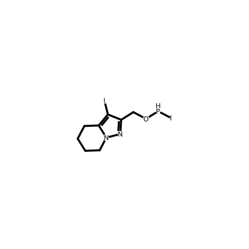 IPOCc1nn2c(c1I)CCCC2